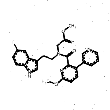 COC(=O)CN(CCc1c[nH]c2ccc(F)cc12)C(=O)c1nc(OC)ccc1-c1cccnc1